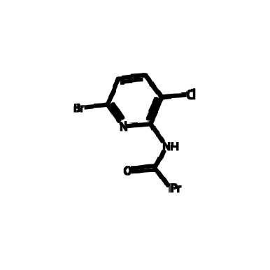 CC(C)C(=O)Nc1nc(Br)ccc1Cl